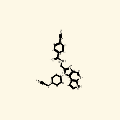 N#CC[C@H]1CC[C@H](n2c(CNC(=O)c3ccc(C#N)cc3)nc3cnc4[nH]ccc4c32)CC1